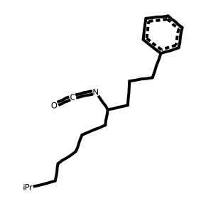 CC(C)CCCCCC(CCCc1ccccc1)N=C=O